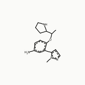 CC(Oc1ccc(N)cc1-c1ccnn1C)C1CCCN1